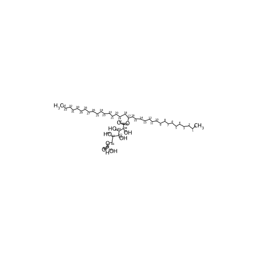 CCCCCCCCCCCCCCCCCC(CCCCCCCCCCCCCCCCC)OC(=O)C(O)C(O)C(O)C(O)CO[PH](=O)O